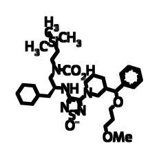 COCCCOC(c1ccccc1)C1CCCN(c2n[s+]([O-])nc2N[C@@H](CC2CCCCC2)CN(CC[Si](C)(C)C)C(=O)O)C1